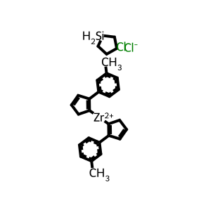 C1CC[SiH2]C1.Cc1cccc(C2=[C]([Zr+2][C]3=C(c4cccc(C)c4)C=CC3)CC=C2)c1.[Cl-].[Cl-]